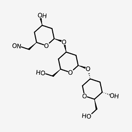 O=NC[C@H]1C[C@@H](O)C[C@@H](O[C@@H]2C[C@H](CO)O[C@H](O[C@H]3CO[C@H](CO)[C@@H](O)C3)C2)O1